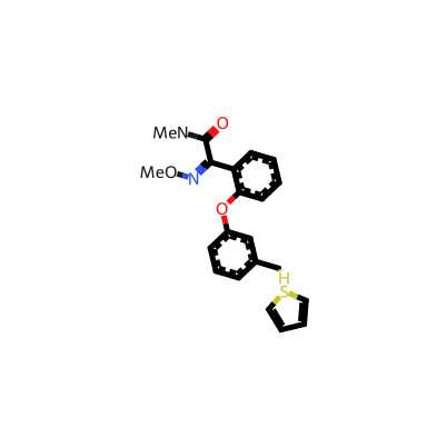 CNC(=O)C(=NOC)c1ccccc1Oc1cccc(C[SH]2C=CC=C2)c1